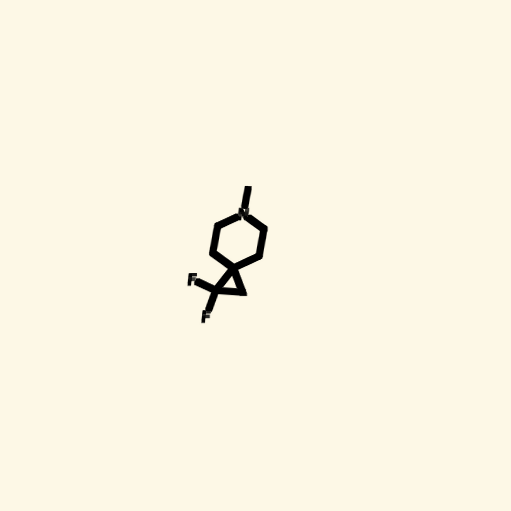 CN1CCC2(CC1)CC2(F)F